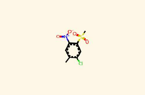 Cc1cc([N+](=O)[O-])c(S(C)(=O)=O)cc1Cl